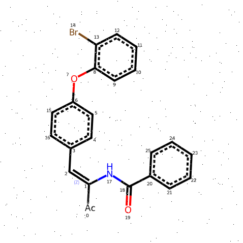 CC(=O)/C(=C/c1ccc(Oc2ccccc2Br)cc1)NC(=O)c1ccccc1